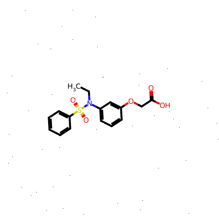 CCN(c1cccc(OCC(=O)O)c1)S(=O)(=O)c1ccccc1